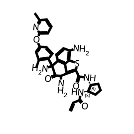 C=CC(=O)N[C@H]1CCC[C@H]1NC(=O)c1sc2c(N)ccc3c2c1C(N)C(=O)C3(N)c1ccc(Oc2cccc(C)n2)cc1C